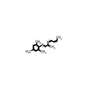 C=C(/C=N/c1c(C)cc(C)cc1C)/N=C\C=C/C